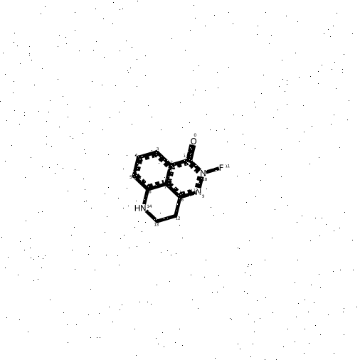 O=c1c2cccc3c2c(nn1F)CCN3